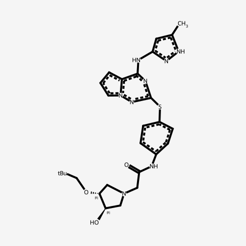 Cc1cc(Nc2nc(Sc3ccc(NC(=O)CN4C[C@@H](O)[C@H](OCC(C)(C)C)C4)cc3)nn3cccc23)n[nH]1